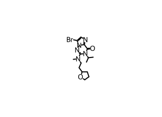 CC(C)n1c(N(C)CCC2CCCO2)nn2c(Br)cnc2c1=O